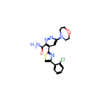 NC(=O)c1nnc(N2CCOCC2)cc1-c1nc(-c2ccccc2Cl)cs1